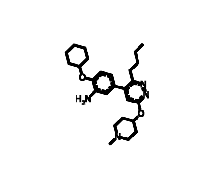 CCCCc1nnc(OC2CCN(C)CC2)cc1-c1ccc(OC2CCCCC2)c(N)c1